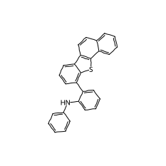 c1ccc(Nc2ccccc2-c2cccc3c2sc2c4ccccc4ccc32)cc1